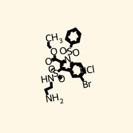 CCOC(=O)c1c(S(=O)(=O)NCCN)c2cc(Br)ccc2n1S(=O)(=O)c1ccccc1.Cl